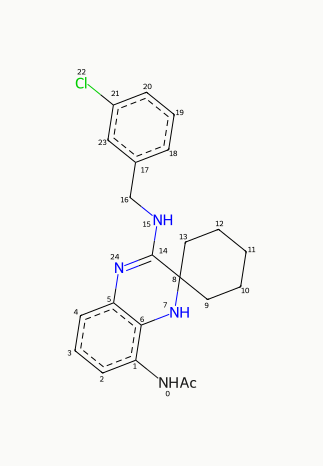 CC(=O)Nc1cccc2c1NC1(CCCCC1)C(NCc1cccc(Cl)c1)=N2